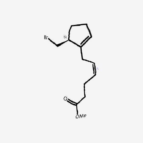 COC(=O)CC/C=C\CC1=CCC[C@@H]1CBr